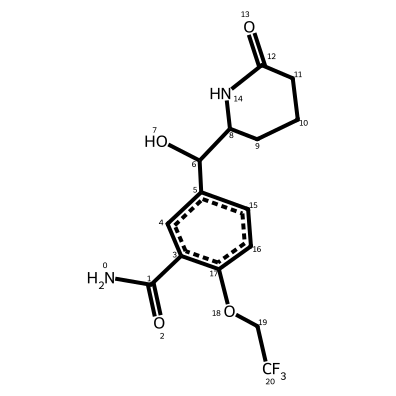 NC(=O)c1cc(C(O)C2CCCC(=O)N2)ccc1OCC(F)(F)F